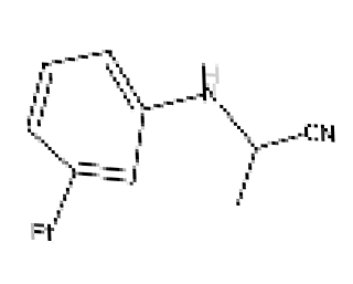 CCc1cccc(NC(C)C#N)c1